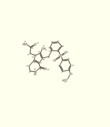 COc1ccc(S(=O)(=O)c2ccccc2Cc2c3c(n(CC(=O)O)c2C)CCNC3=O)cc1